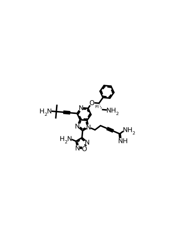 CC(C)(N)C#Cc1nc(O[C@@H](CN)c2ccccc2)cc2c1nc(-c1nonc1N)n2CCC#CC(=N)N